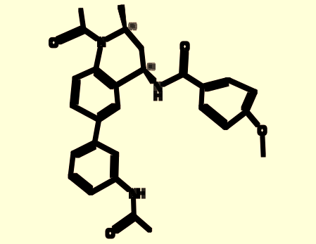 COc1ccc(C(=O)N[C@@H]2C[C@H](C)N(C(C)=O)c3ccc(-c4cccc(NC(C)=O)c4)cc32)cc1